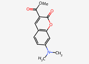 COC(=O)c1cc2ccc(N(C)C)cc2oc1=O